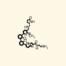 COc1nc(-c2cccc(-c3cccc(-c4ccc5nc(C(=O)NCCN)cn5n4)c3Cl)c2Cl)ccc1CNC[C@H]1CCC(=O)N1